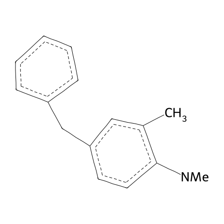 CNc1ccc(Cc2ccccc2)cc1C